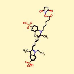 CC[N+]1=C(/C=C/C=C/C=C(\C)N(CCCCCC(=O)ON2C(=O)CCC2=O)c2ccc(S(=O)(=O)O)cc2C)C(C)c2cc(S(=O)(=O)O)ccc21